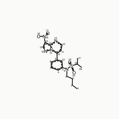 CCCCN(c1cccc(-c2ccnc3c([N+](=O)[O-])cnn23)c1)S(=O)(=O)C(C)C